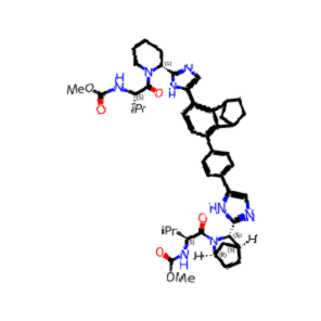 COC(=O)N[C@H](C(=O)N1CCCC[C@H]1c1ncc(-c2ccc(-c3ccc(-c4cnc([C@@H]5[C@H]6CC[C@H](C6)N5C(=O)[C@@H](NC(=O)OC)C(C)C)[nH]4)cc3)c3c2C2CCC3C2)[nH]1)C(C)C